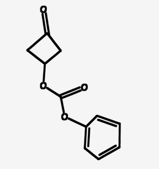 O=C1CC(OC(=O)Oc2ccccc2)C1